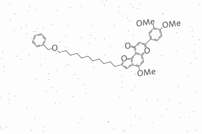 COc1ccc(-c2cc(=O)c3c(cc(OC)c4cc(CCCCCCCCCCCOCc5ccccc5)oc43)o2)cc1OC